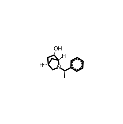 C[C@H](c1ccccc1)N1C[C@H]2C[C@H](O)[C@@H]1C2